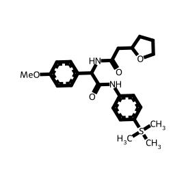 COc1ccc(C(NC(=O)CC2CCCO2)C(=O)Nc2ccc(S(C)(C)C)cc2)cc1